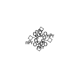 CCCO[Si]1(C2CCC2)O[Si](OCCC)(C2CCC2)O[Si](OCCC)(C2CCC2)O[Si](OCCC)(C2CCC2)O1